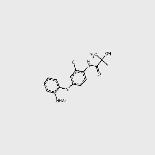 CC(=O)Nc1ccccc1Sc1ccc(NC(=O)C(C)(O)C(F)(F)F)c(Cl)c1